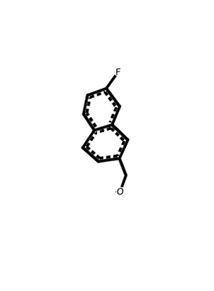 [O]Cc1ccc2ccc(F)cc2c1